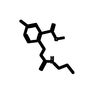 C=C(CCc1ccc(C)cc1C(=C)OC)NCCC